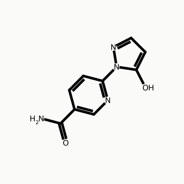 NC(=O)c1ccc(-n2nccc2O)nc1